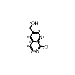 OCc1cnc2c(Cl)nccc2c1